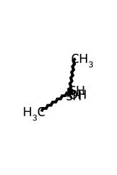 CCCCCCCCCCCCP(O)(S)(S)CCCCCCCCCCCC